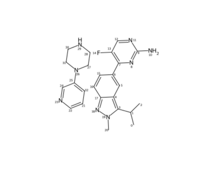 CC(C)c1c2cc(-c3nc(N)ncc3F)ccc2nn1C.c1cncc(N2CCNCC2)c1